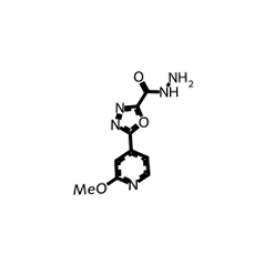 COc1cc(-c2nnc(C(=O)NN)o2)ccn1